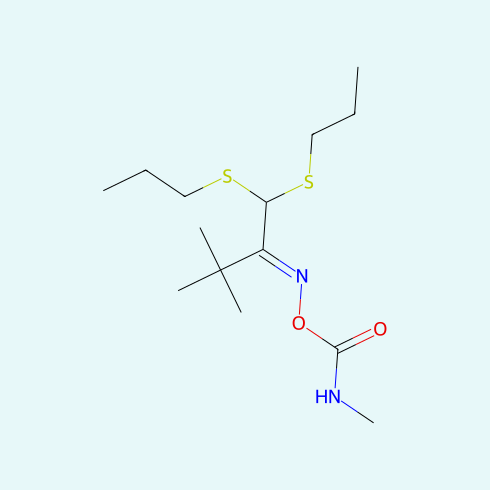 CCCSC(SCCC)C(=NOC(=O)NC)C(C)(C)C